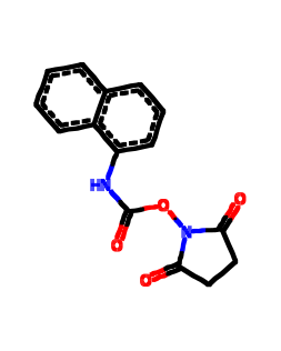 O=C(Nc1cccc2ccccc12)ON1C(=O)CCC1=O